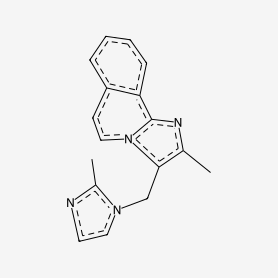 Cc1nc2c3ccccc3ccn2c1Cn1ccnc1C